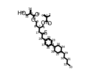 C=C(C)C(=O)OCC(CCOC(=O)C(=C)CO)CC(F)Cc1ccc(C2CCC(CCCCC)CC2)cc1